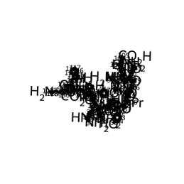 CC(C)C[C@H](NC(=O)[C@@H]1CCCN1C(=O)[C@H](Cc1ccccc1)NC(=O)[C@H](CCCNC(=N)N)NC(=O)[C@H](CC(N)=O)NC(=O)[C@@H]1CCCN1C(=O)[C@H](Cc1ccc(O)cc1)NC(=O)[C@@H](NC(=O)[C@H](CCC(N)=O)NC(=O)[C@H](C)NC(=O)[C@H](CCC(N)=O)NC(=O)[C@H](CCCCN)NC(=O)CNC(=O)[C@@H](N)CC(=O)O)C(C)C)C(=O)N[C@@H](Cc1c[nH]c2ccccc12)C(=O)N[C@@H](CCCCN)C(=O)O